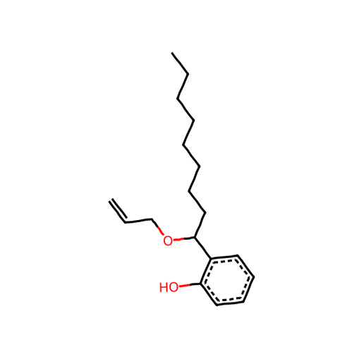 C=CCOC(CCCCCCCC)c1ccccc1O